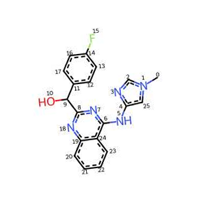 Cn1cnc(Nc2nc(C(O)c3ccc(F)cc3)nc3ccccc23)c1